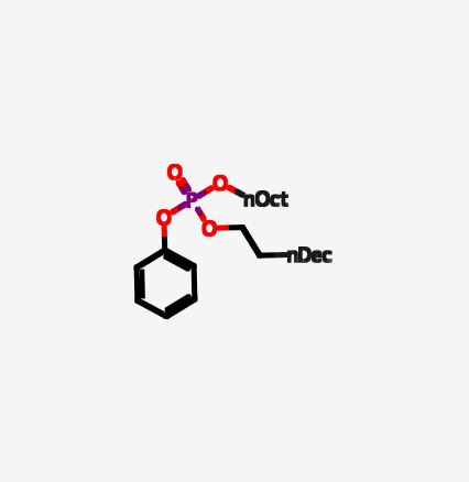 CCCCCCCCCCCCOP(=O)(OCCCCCCCC)Oc1ccccc1